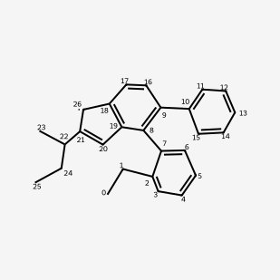 CCc1ccccc1-c1c(-c2ccccc2)ccc2c1C=C(C(C)CC)[CH]2